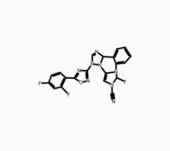 N#CN1C=C2N(c3ccccc3C3N=CN(c4noc(-c5ccc(F)cc5F)n4)N23)C1F